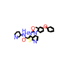 Cc1cc(Oc2ccccc2)ccc1N1C(=O)Nc2c(C(=O)NC3CCCN(C)C3)sc3nccc1c23